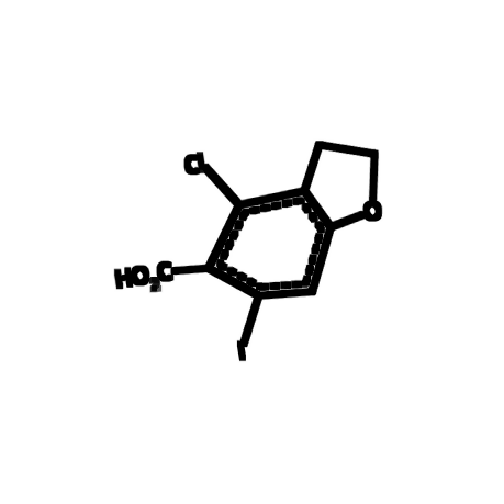 O=C(O)c1c(I)cc2c(c1Cl)CCO2